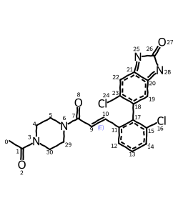 CC(=O)N1CCN(C(=O)/C=C/c2cc[c]c(Cl)c2-c2cc3c(cc2Cl)=NC(=O)N=3)CC1